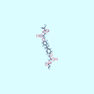 C=CC(=O)OCC(O)COc1ccc(C(C)(C)c2ccc(OCC(O)COC(=O)C(=C)C)cc2)cc1